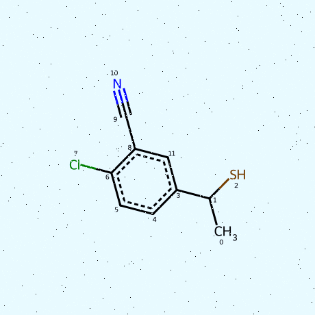 CC(S)c1ccc(Cl)c(C#N)c1